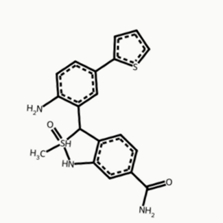 C[SH]1(=O)Nc2cc(C(N)=O)ccc2C1c1cc(-c2cccs2)ccc1N